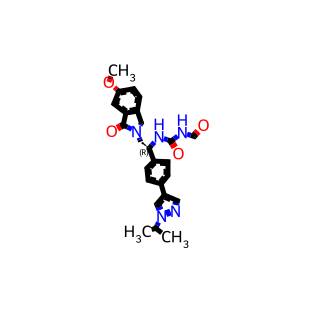 COc1ccc2c(c1)C(=O)N(C[C@H](NC(=O)NC=O)c1ccc(-c3cnn(C(C)C)c3)cc1)C2